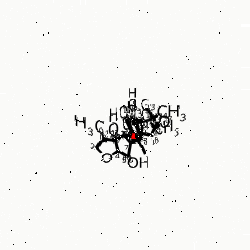 C[C@@H]1COC2[C@H](O)C34C5OC(=O)[C@]3(OC3OC(=O)CC34[C@H](C(C)(C)C)[C@H]5O)[C@]21O